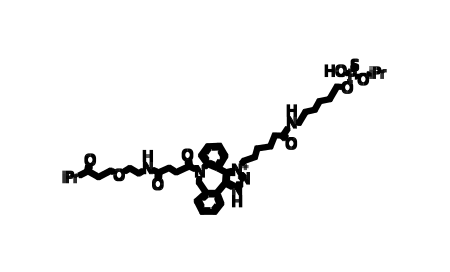 CC(C)OP(O)(=S)OCCCCCCNC(=O)CCCCC[n+]1n[nH]c2c1-c1ccccc1N(C(=O)CCC(=O)NCCOCCC(=O)C(C)C)Cc1ccccc1-2